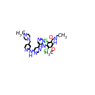 CCNC(=O)c1cc(OC)c(Cl)c(Nc2ncncc2-c2cc(Nc3cc(CN4CCN(C)CC4)ccn3)ncn2)c1Cl